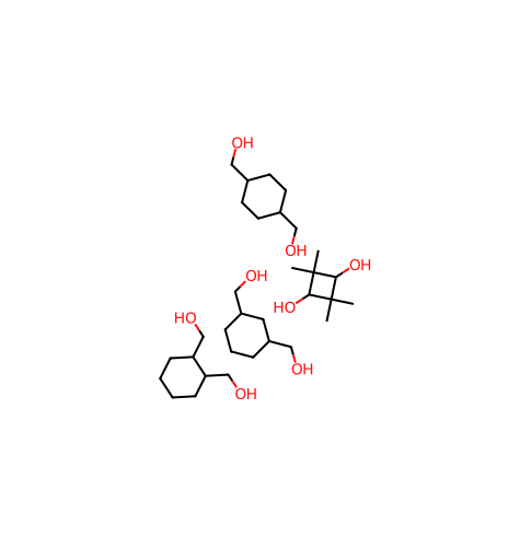 CC1(C)C(O)C(C)(C)C1O.OCC1CCC(CO)CC1.OCC1CCCC(CO)C1.OCC1CCCCC1CO